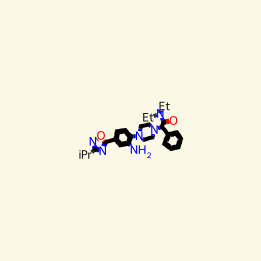 CCN(CC)C(=O)C(c1ccccc1)N1CCN(c2ccc(-c3nc(C(C)C)no3)cc2N)CC1